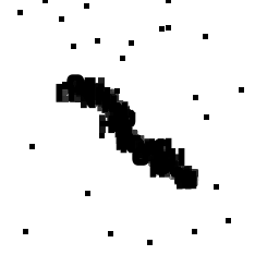 CCc1cc2ncc(CN3CCN(c4ccc(C(=O)NCCn5cc(CCNC(=O)c6ccc(NC(=O)CNCCn7ccnn7)c(Cl)n6)nn5)nc4)CC3)cc2[nH]c1=O